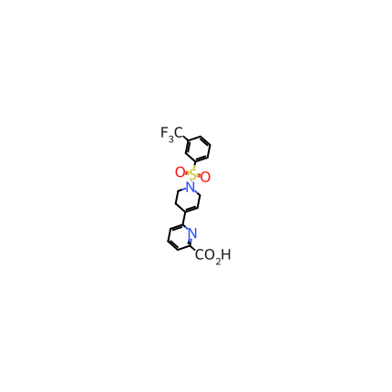 O=C(O)c1cccc(C2=CCN(S(=O)(=O)c3cccc(C(F)(F)F)c3)CC2)n1